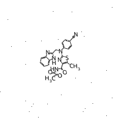 Cc1sc(N(Cc2nc3ccccc3[nH]2)c2ccc(C#N)cc2)nc1C(=O)NS(C)(=O)=O